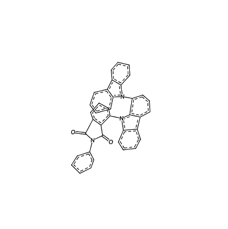 O=C1c2cccc(-n3c4ccccc4c4cccc(-n5c6ccccc6c6ccccc65)c43)c2C(=O)N1c1ccccc1